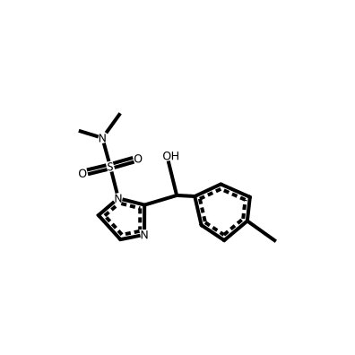 Cc1ccc(C(O)c2nccn2S(=O)(=O)N(C)C)cc1